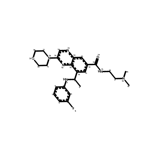 CC(Nc1cccc(F)c1)c1cc(C(=O)NCCN(C)C)cc2ncc(N3CCOCC3)nc12